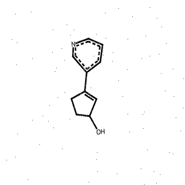 OC1C=C(c2cccnc2)CC1